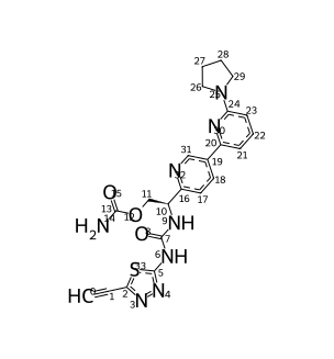 C#Cc1nnc(NC(=O)N[C@@H](COC(N)=O)c2ccc(-c3cccc(N4CCCC4)n3)cn2)s1